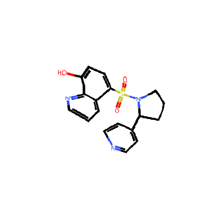 O=S(=O)(c1ccc(O)c2ncccc12)N1CCCC1c1ccncc1